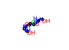 Cc1c(NC(=O)c2cc3n(n2)CCCC3N2CCC(O)CC2)cccc1-c1cccc(NC(=O)c2ccc(CN3CC[C@@H](O)C3)cn2)c1Cl